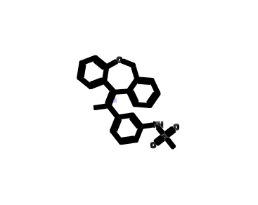 C/C(=C1/c2ccccc2COc2ccccc21)c1cccc(NS(C)(=O)=O)c1